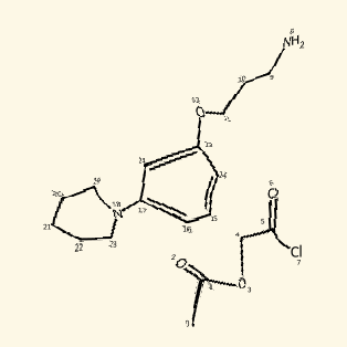 CC(=O)OCC(=O)Cl.NCCCOc1cccc(N2CCCCC2)c1